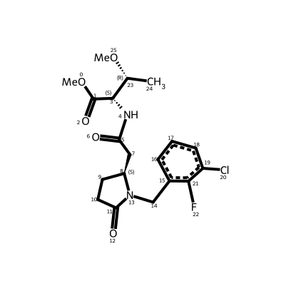 COC(=O)[C@@H](NC(=O)C[C@@H]1CCC(=O)N1Cc1cccc(Cl)c1F)[C@@H](C)OC